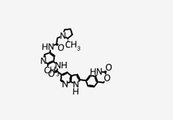 Cc1ncc(NC(=O)CN2CCC[C@@H]2C)cc1NC(=O)c1cnc2[nH]c(-c3ccc4c(c3)NC(=O)OC4)cc2c1